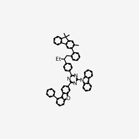 CCC(Cc1ccccc1-c1cc2c(cc1C)C(C)(C)c1ccccc1-2)c1ccc(-c2nc(-c3ccc4c(c3)oc3cccc(-c5ccccc5)c34)nc(-n3c4ccccc4c4ccccc43)n2)cc1